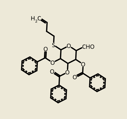 C=CCCSC1OC(C=O)C(OC(=O)c2ccccc2)C(OC(=O)c2ccccc2)C1OC(=O)c1ccccc1